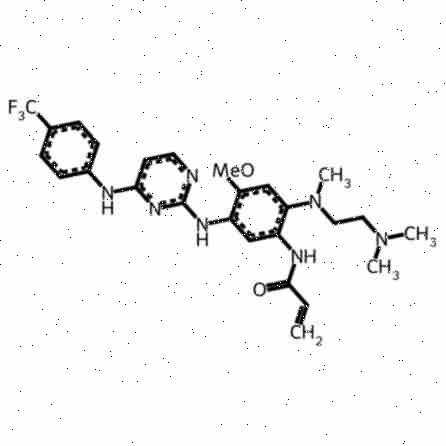 C=CC(=O)Nc1cc(Nc2nccc(Nc3ccc(C(F)(F)F)cc3)n2)c(OC)cc1N(C)CCN(C)C